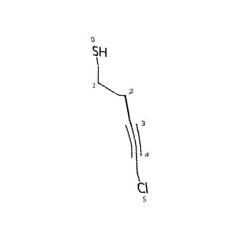 SCCC#CCl